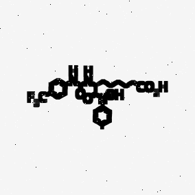 O=C(O)CCCCC[C@H](NC(=O)Nc1ccc(C(F)(F)F)cc1)C(=O)N(O)c1cc[c]cc1